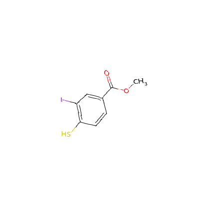 COC(=O)c1ccc(S)c(I)c1